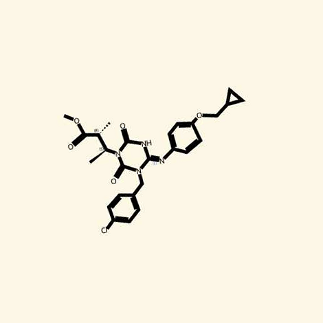 COC(=O)[C@H](C)[C@H](C)n1c(=O)[nH]/c(=N\c2ccc(OCC3CC3)cc2)n(Cc2ccc(Cl)cc2)c1=O